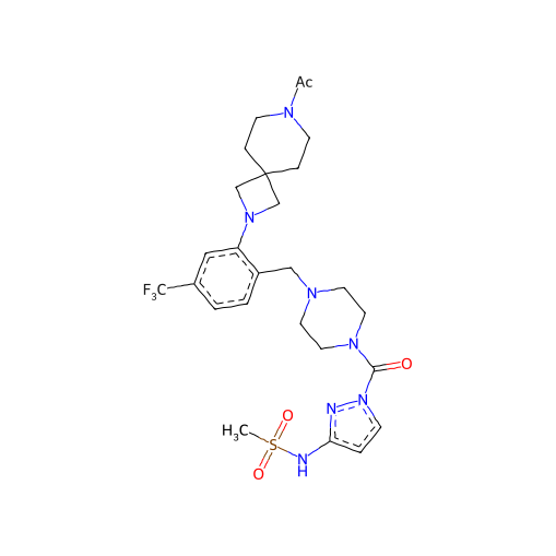 CC(=O)N1CCC2(CC1)CN(c1cc(C(F)(F)F)ccc1CN1CCN(C(=O)n3ccc(NS(C)(=O)=O)n3)CC1)C2